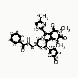 Cc1csc(-c2c3c(=O)n(C)c(=O)n(C)c3c3n2C[C@H](CNC(=O)c2ccccc2)S[C@@H]3c2ccc(Cl)o2)n1